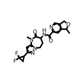 CC1OCc2cnc(C(=O)NC3CCn4nc(C5CC5(F)F)cc4N(C)C3=O)cc21